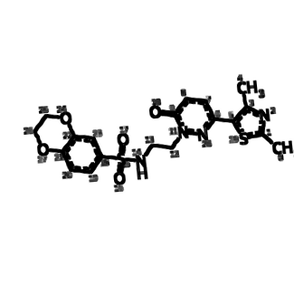 Cc1nc(C)c(-c2ccc(=O)n(CCNS(=O)(=O)c3ccc4c(c3)OCCO4)n2)s1